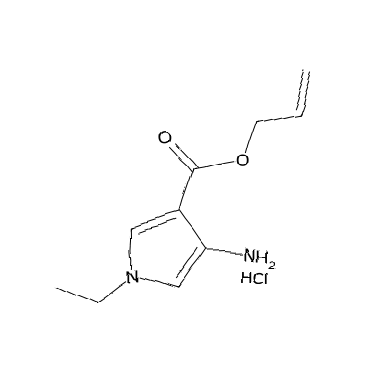 C=CCOC(=O)c1cn(CC)cc1N.Cl